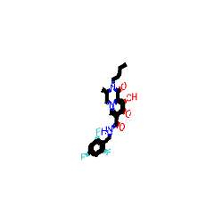 CCCCN1C(=O)c2c(O)c(=O)c(C(=O)NCc3c(F)cc(F)cc3F)cn2CC1C